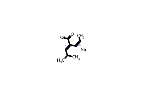 C/C=C\C(=C/C(C)C)C(=O)[O-].[Na+]